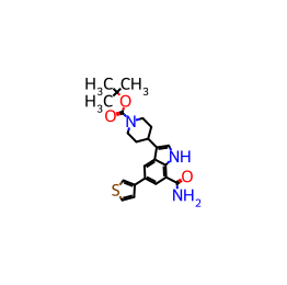 CC(C)(C)OC(=O)N1CCC(c2c[nH]c3c(C(N)=O)cc(-c4ccsc4)cc23)CC1